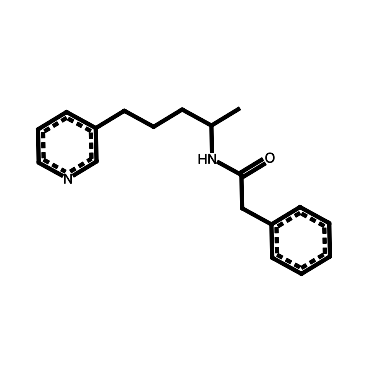 CC(CCCc1cccnc1)NC(=O)Cc1ccccc1